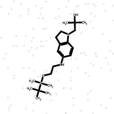 CC(C)(O)CN1CCc2cc(NCCO[Si](C)(C)C(C)(C)C)ccc21